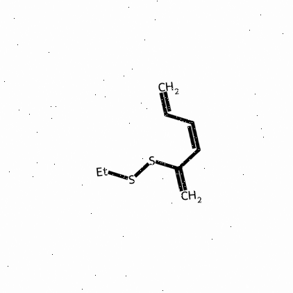 C=C/C=C\C(=C)SSCC